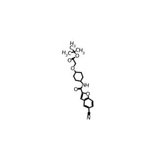 CC(C)(C)OC(=O)COC1CCC(NC(=O)c2cc3cc(C#N)ccc3o2)CC1